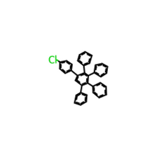 Clc1ccc(-c2cc(-c3ccccc3)c(-c3ccccc3)c(-c3ccccc3)c2-c2ccccc2)cc1